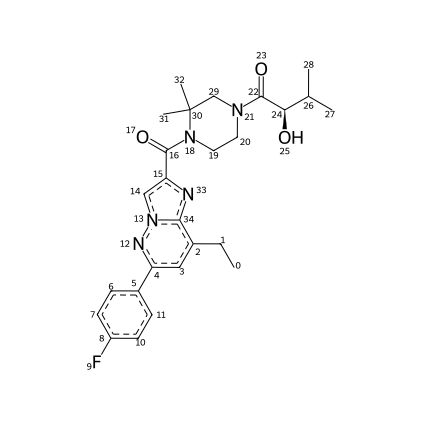 CCc1cc(-c2ccc(F)cc2)nn2cc(C(=O)N3CCN(C(=O)[C@H](O)C(C)C)CC3(C)C)nc12